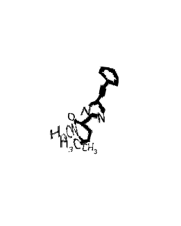 CN1C(=O)C(c2ncc(C#Cc3ccccc3)cn2)CCC1(C)C